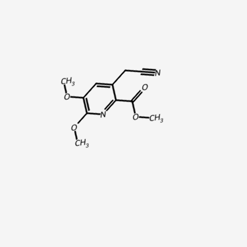 COC(=O)c1nc(OC)c(OC)cc1CC#N